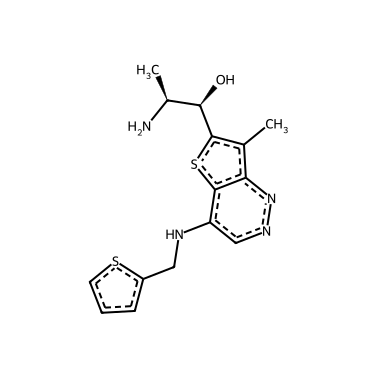 Cc1c([C@H](O)[C@H](C)N)sc2c(NCc3cccs3)cnnc12